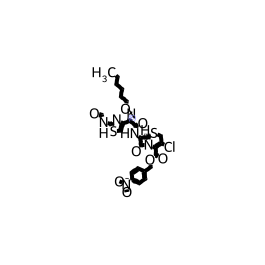 CCCCCCO/N=C(/C(=O)NC1C(=O)N2C(C(=O)OCc3ccc([N+](=O)[O-])cc3)=C(Cl)CS[C@H]12)c1csc(NC=O)n1